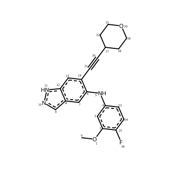 COc1cc(Nc2cc3cn[nH]c3cc2C#CC2CCOCC2)ccc1F